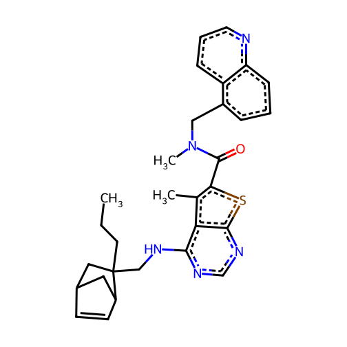 CCCC1(CNc2ncnc3sc(C(=O)N(C)Cc4cccc5ncccc45)c(C)c23)CC2C=CC1C2